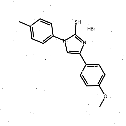 Br.COc1ccc(-c2cn(-c3ccc(C)cc3)c(S)n2)cc1